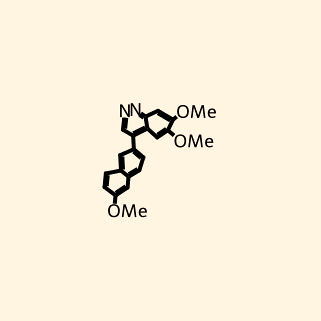 COc1ccc2cc(-c3cnnc4cc(OC)c(OC)cc34)ccc2c1